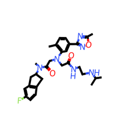 Cc1nc(-c2ccc(C)c(N(CC(=O)NCCNC(C)C)CC(=O)N(C)C3Cc4ccc(F)cc4C3)c2)no1